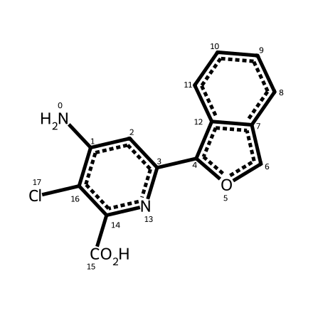 Nc1cc(-c2occ3ccccc23)nc(C(=O)O)c1Cl